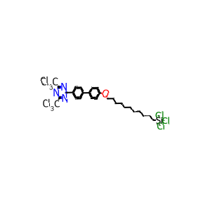 ClC(Cl)(Cl)c1nc(-c2ccc(-c3ccc(OCCCCCCCCCCC[Si](Cl)(Cl)Cl)cc3)cc2)nc(C(Cl)(Cl)Cl)n1